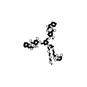 COCCOCCOCCN(CC(C)(C)SCCCC(=O)ON1C(=O)CCC1=O)c1cc(COc2cc3c(cc2OC)C(=O)N2c4ccccc4C[C@H]2C=N3)cc(COc2cc3c(cc2OC)C(=O)N2c4ccccc4C[C@H]2CN3)c1